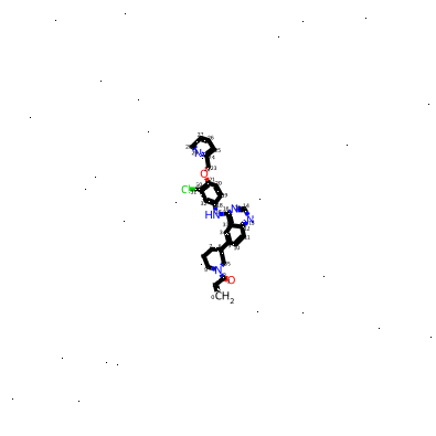 C=CC(=O)N1CCCC(c2ccc3ncnc(Nc4ccc(OCc5ccccn5)c(Cl)c4)c3c2)C1